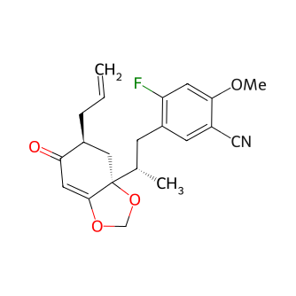 C=CC[C@H]1C[C@]2([C@@H](C)Cc3cc(C#N)c(OC)cc3F)OCOC2=CC1=O